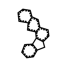 c1ccc2c(c1)Cc1ccc3cc4ccccc4cc3c1-2